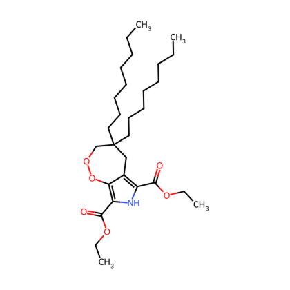 CCCCCCCCC1(CCCCCCCC)COOc2c(C(=O)OCC)[nH]c(C(=O)OCC)c2C1